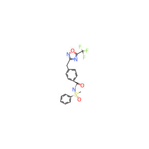 CS(=O)(=NC(=O)c1ccc(Cc2noc(C(F)(F)F)n2)cc1)c1ccccc1